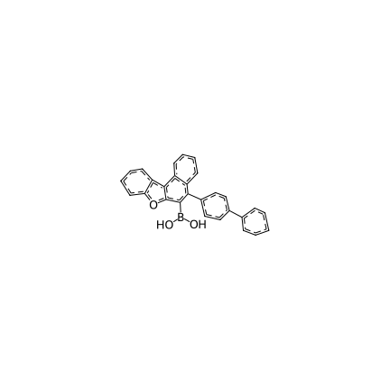 OB(O)c1c(-c2ccc(-c3ccccc3)cc2)c2ccccc2c2c1oc1ccccc12